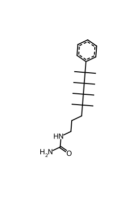 CC(C)(CCCNC(N)=O)C(C)(C)C(C)(C)C(C)(C)c1ccccc1